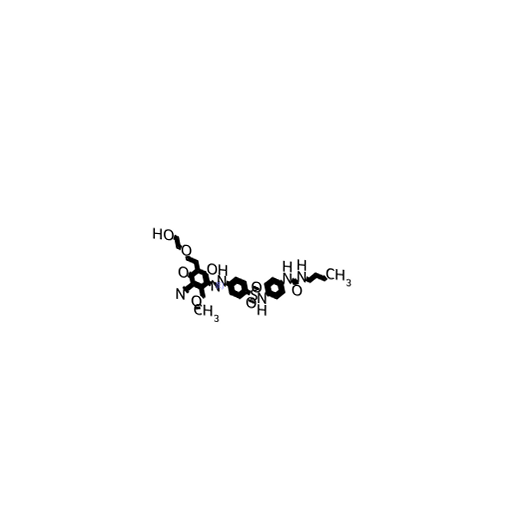 CCCCNC(=O)Nc1ccc(NS(=O)(=O)c2ccc(/N=N/C3=C(O)C(CCOCCO)C(=O)C(C#N)=C3COC)cc2)cc1